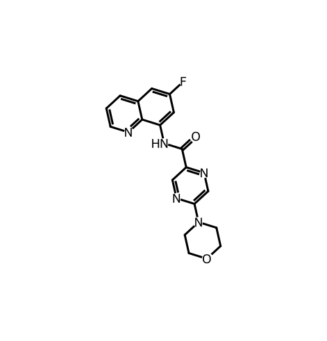 O=C(Nc1cc(F)cc2cccnc12)c1cnc(N2CCOCC2)cn1